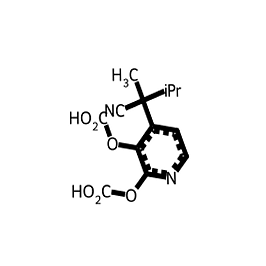 CC(C)C(C)(C#N)c1ccnc(OC(=O)O)c1OC(=O)O